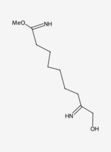 COC(=N)CCCCCCC(=N)CO